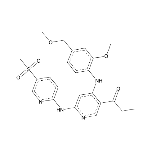 CCC(=O)c1cnc(Nc2ccc(S(C)(=O)=O)cn2)cc1Nc1ccc(COC)cc1OC